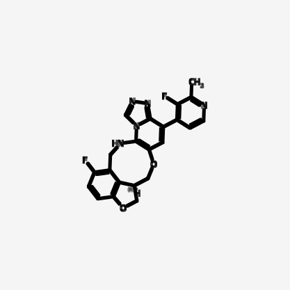 Cc1nccc(-c2cc3c(n4cnnc24)NCc2c(F)ccc4c2[C@H](CO4)CO3)c1F